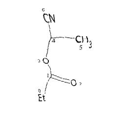 CCC(=O)OC(C)C#N